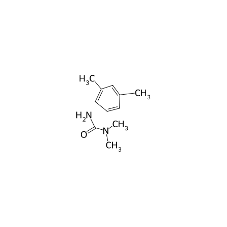 CN(C)C(N)=O.Cc1cccc(C)c1